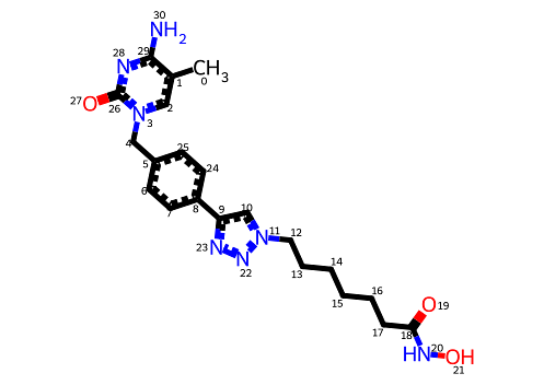 Cc1cn(Cc2ccc(-c3cn(CCCCCCC(=O)NO)nn3)cc2)c(=O)nc1N